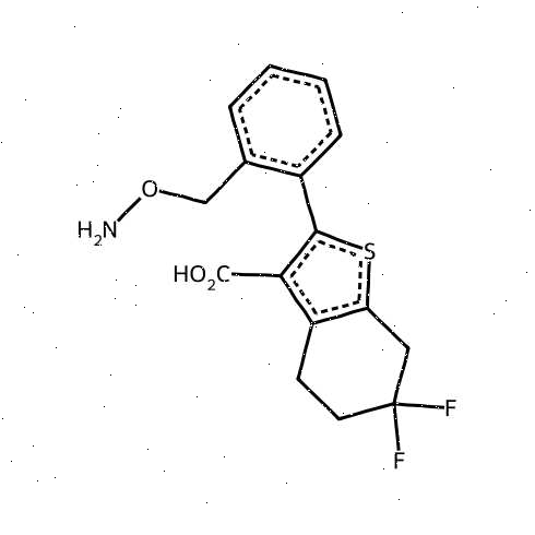 NOCc1ccccc1-c1sc2c(c1C(=O)O)CCC(F)(F)C2